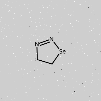 [C]1C[Se]N=N1